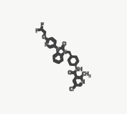 Cc1ncc(Cl)cc1C(=O)N[C@H]1CC[C@H](Cn2c(=O)n(-c3ccc(OCC(F)F)nc3)c3ccccc32)CC1